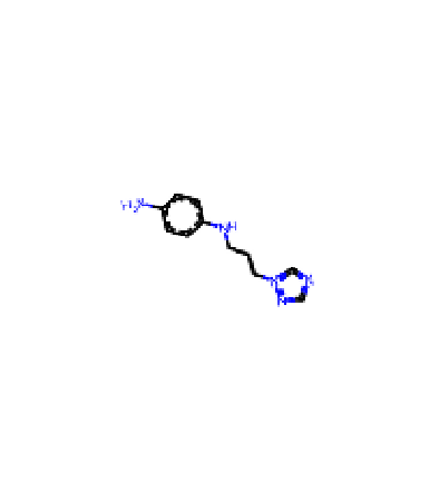 Nc1ccc(NCCCn2cncn2)cc1